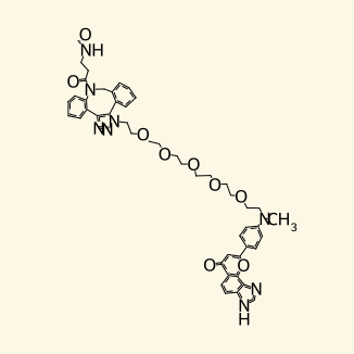 CN(CCOCCOCCOCCOCCOCCn1nnc2c1-c1ccccc1CN(C(=O)CCNC=O)c1ccccc1-2)c1ccc(-c2cc(=O)c3ccc4[nH]cnc4c3o2)cc1